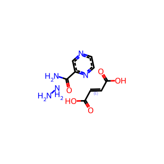 NC(=O)c1cnccn1.NN.O=C(O)/C=C/C(=O)O